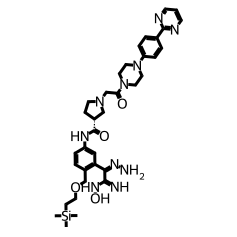 C[Si](C)(C)CCOCc1ccc(NC(=O)[C@@H]2CCN(CC(=O)N3CCN(c4ccc(-c5ncccn5)cc4)CC3)C2)cc1/C(=N/N)C(=N)NO